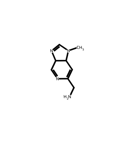 CN1C=NC2C=NC(CN)=CC21